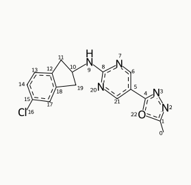 Cc1nnc(-c2cnc(NC3Cc4ccc(Cl)cc4C3)nc2)o1